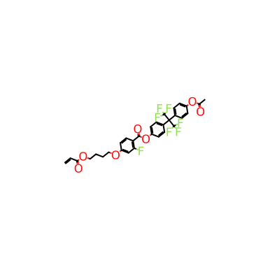 C=CC(=O)OCCCCOc1ccc(C(=O)Oc2ccc(C(c3ccc(OC(C)=O)cc3)(C(F)(F)F)C(F)(F)F)cc2)c(F)c1